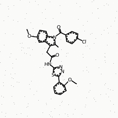 COc1ccc2c(c1)c(CC(=O)Nc1nnc(-c3ccccc3OC)s1)c(C)n2C(=O)c1ccc(Cl)cc1